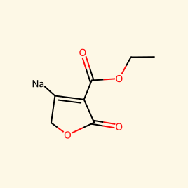 CCOC(=O)C1=[C]([Na])COC1=O